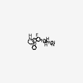 O=S1(=O)C(Cc2ccc(N3C[C@@H]4C(n5cnnc5)[C@@H]4C3)cc2F)NCCC[C@H]1c1ccccc1